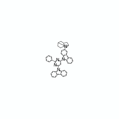 c1ccc(-c2nc(-n3c4ccccc4c4ccccc43)cc(-n3c4ccccc4c4cc(N5C6CCC7CC5CC7C6)ccc43)n2)cc1